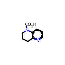 O=C(O)N1CCCc2ncccc21